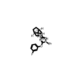 CC(C)n1nc(N[C@@H]2[C@@H]3CC[C@H]2CN(C(=O)O)C3)nc1Oc1cccc(F)c1